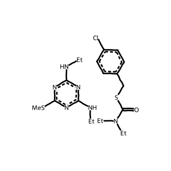 CCN(CC)C(=O)SCc1ccc(Cl)cc1.CCNc1nc(NCC)nc(SC)n1